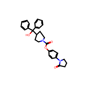 O=C(Oc1ccc(N2CCCC2=O)cc1)N1CCC(C(O)(c2ccccc2)c2ccccc2)CC1